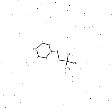 CC(C)(C)SCN1CCNCC1